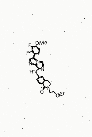 CCOCCN1CCc2cc(Nc3nccn4c(-c5ccc(OC)c(F)c5F)cnc34)ccc2C1=O